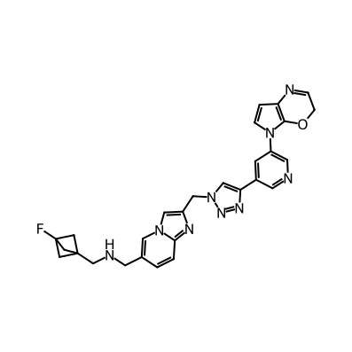 FC12CC(CNCc3ccc4nc(Cn5cc(-c6cncc(-n7ccc8c7OCC=N8)c6)nn5)cn4c3)(C1)C2